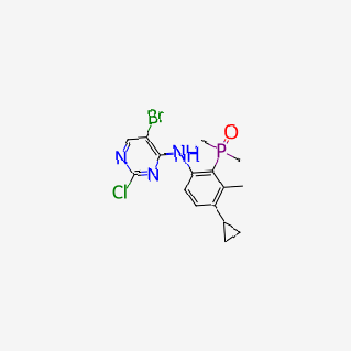 Cc1c(C2CC2)ccc(Nc2nc(Cl)ncc2Br)c1P(C)(C)=O